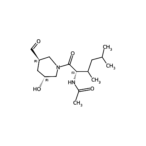 CC(=O)N[C@H](C(=O)N1C[C@H](O)C[C@@H](C=O)C1)C(C)CC(C)C